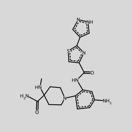 CNC1(C(N)=O)CCN(c2ccc(N)cc2NC(=O)c2csc(-c3cn[nH]c3)n2)CC1